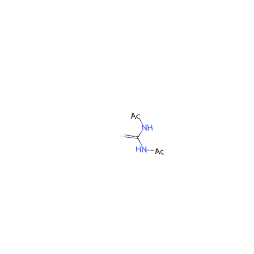 [CH]=C(NC(C)=O)NC(C)=O